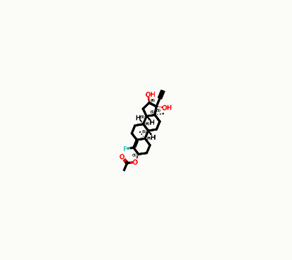 C#C[C@]1(O)[C@H](O)C[C@H]2[C@@H]3CCC4=C(F)[C@@H](OC(C)=O)CC[C@]4(C)[C@H]3CC[C@@]21C